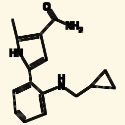 Cc1[nH]c(-c2ccccc2NCC2CC2)cc1C(N)=O